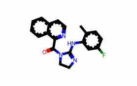 Cc1ccc(F)cc1NC1=NCCN1C(=O)c1nccc2ccccc12